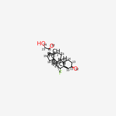 C[C@]12CC[C@H]3[C@@H](CC(F)C4=CC(=O)CC[C@@]43C)[C@@H]1CC[C@@H]2C(=O)CO